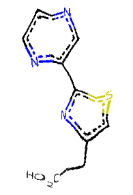 O=C(O)Cc1csc(-c2cnccn2)n1